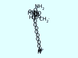 [CH2]c1ccc(NC(=O)[C@H](CCCCN)NC(=O)[C@H](Cc2ccccc2)NC(=O)CCOCCOCCOCCOCCOCCOCCOCCOCCOCCN=[N+]=[N-])c(C)c1